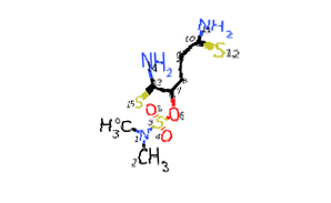 CN(C)S(=O)(=O)OC(CCC(N)=S)C(N)=S